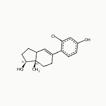 C[C@]12CCC(c3ccc(O)cc3Cl)=CC1CC[C@@H]2O